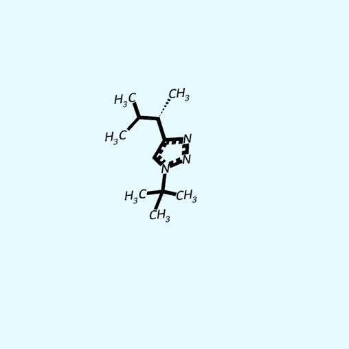 CC(C)[C@H](C)c1cn(C(C)(C)C)nn1